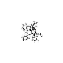 Cc1cccc(N(C(N)=O)C2CC(c3ccccc3)CC(C3CCCCC3)N(CC(=O)OC(C)(C)C)C2=O)c1